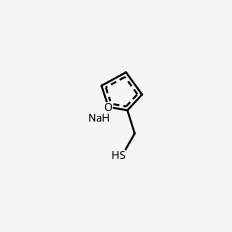 SCc1ccco1.[NaH]